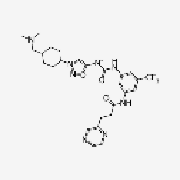 CN(C)CC1CCC([n+]2cc([N-]C(=O)Nc3cc(NC(=O)CCc4cnccn4)cc(C(F)(F)F)c3)on2)CC1